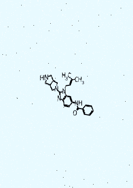 CC(C)=CCn1c(N2CC3CNCC3C2)nc2ccc(NC(=O)c3ccccc3)cc21